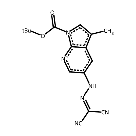 Cc1cn(C(=O)OC(C)(C)C)c2ncc(NN=C(C#N)C#N)cc12